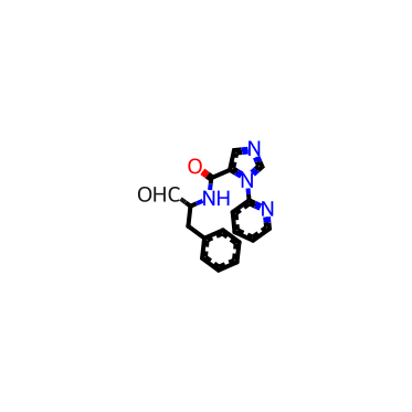 O=CC(Cc1ccccc1)NC(=O)c1cncn1-c1ccccn1